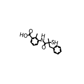 Cc1c(NC(=O)C(C)(S)Cc2ccccc2)cccc1C(=O)O